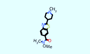 CON(C)C(=O)c1ccc2nc(C3CCN(C)CC3)sc2c1